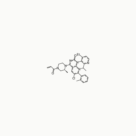 C=CC(=O)N1CCN(c2nc(=O)n3c4c2cc(Cl)c(-c2ccccc2C)[n+]4C(C)c2nccc(CC)c2-3)[C@@H](C)C1